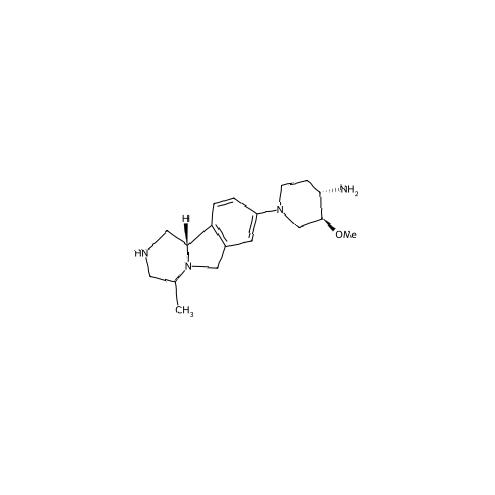 CO[C@H]1CN(c2ccc3c(c2)CN2C(C)CNC[C@H]32)CC[C@@H]1N